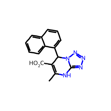 CC1=C(C(=O)O)C(c2cccc3ccccc23)n2nnnc2N1